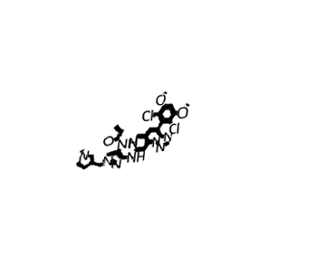 C=CC(=O)Nc1cn(CC2CCN(C)C2)nc1Nc1cc2c(cn1)cc(-c1c(Cl)c(OC)cc(OC)c1Cl)c1ncnn12